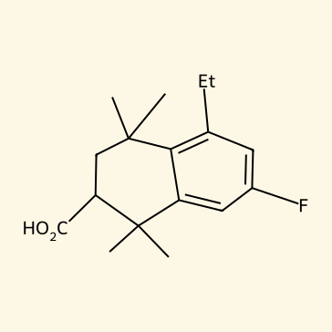 CCc1cc(F)cc2c1C(C)(C)CC(C(=O)O)C2(C)C